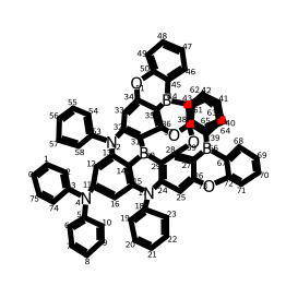 c1ccc(N(c2ccccc2)c2cc3c4c(c2)N(c2ccccc2)c2cc5c6c(c2B4c2c(cc4c7c2Oc2ccccc2B7c2ccccc2O4)N3c2ccccc2)Oc2ccccc2B6c2ccccc2O5)cc1